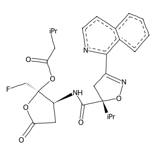 CC(C)CC(=O)O[C@]1(CF)OC(=O)C[C@@H]1NC(=O)[C@]1(C(C)C)CC(c2nccc3ccccc23)=NO1